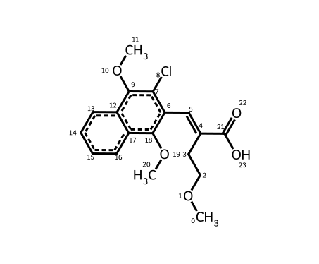 COCCC(=Cc1c(Cl)c(OC)c2ccccc2c1OC)C(=O)O